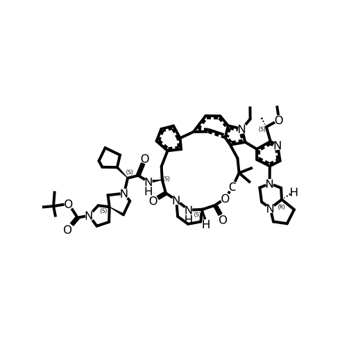 CCn1c(-c2cc(N3CCN4CCC[C@@H]4C3)cnc2[C@H](C)OC)c2c3cc(ccc31)-c1cccc(c1)C[C@H](NC(=O)[C@H](C1CCCC1)N1CC[C@]3(CCN(C(=O)OC(C)(C)C)C3)C1)C(=O)N1CCC[C@H](N1)C(=O)OCC(C)(C)C2